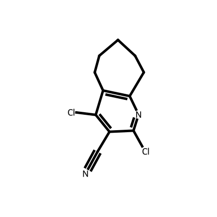 N#Cc1c(Cl)nc2c(c1Cl)CCCCC2